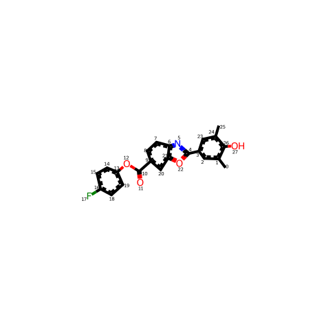 Cc1cc(-c2nc3ccc(C(=O)Oc4ccc(F)cc4)cc3o2)cc(C)c1O